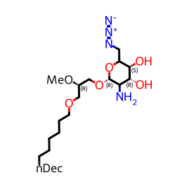 CCCCCCCCCCCCCCCCOC[C@H](CO[C@@H]1OC(CN=[N+]=[N-])[C@@H](O)[C@H](O)C1N)OC